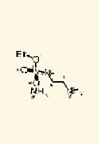 CCOS(=O)(=O)NCCN.N